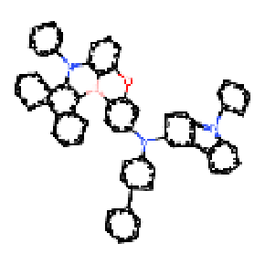 c1ccc(-c2ccc(N(c3ccc4c(c3)Oc3cccc5c3B4c3c(c4ccccc4c4ccccc34)N5c3ccccc3)c3ccc4c(c3)c3ccccc3n4-c3ccccc3)cc2)cc1